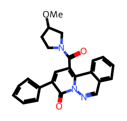 COC1CCN(C(=O)c2cc(-c3ccccc3)c(=O)n3ncc4ccccc4c23)C1